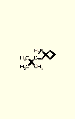 CC(C)(C)OCC1(N)CCC1